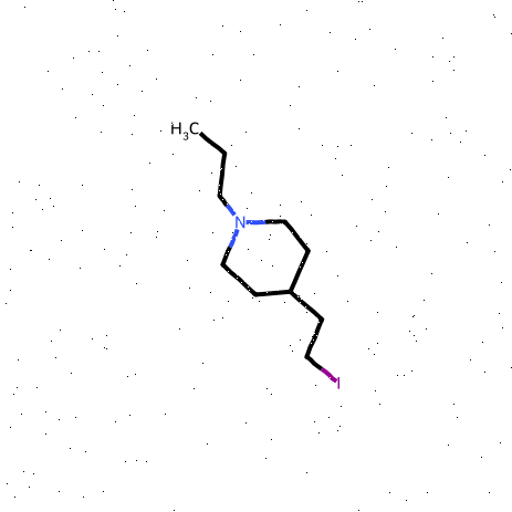 CCCN1CCC(CCI)CC1